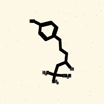 CCC(CCCc1ccc(O)cc1)CC(C)(N)C(=O)O